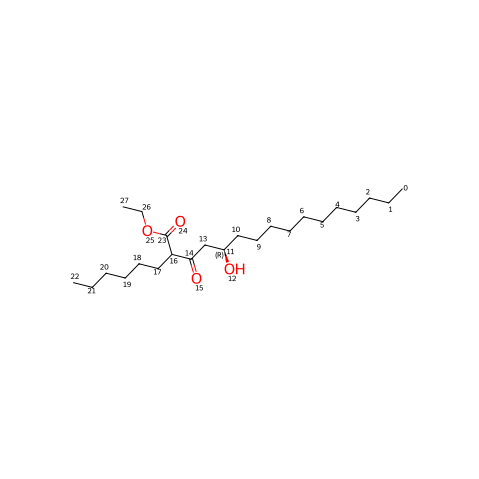 CCCCCCCCCCC[C@@H](O)CC(=O)C(CCCCCC)C(=O)OCC